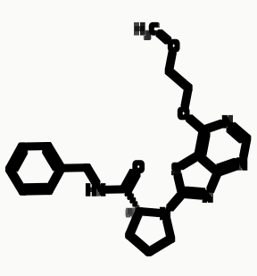 COCCOc1ncnc2nc(N3CCC[C@@H]3C(=O)NCc3ccccc3)sc12